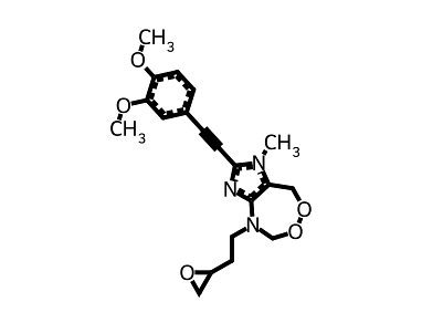 COc1ccc(C#Cc2nc3c(n2C)COOCN3CCC2CO2)cc1OC